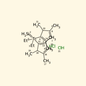 C[CH2][Ti](=[SiH2])([CH2]C)([C]1=C(C)C=C(C)C1C)[C]1=C(C)C=C(C)C1C.Cl.Cl